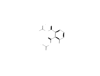 CCC(OC(=O)c1cccc(F)c1C(=O)OC(CC)C(C)(C)C)C(C)(C)C